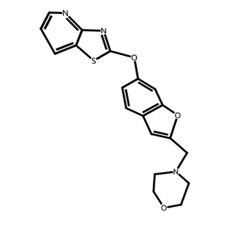 c1cnc2nc(Oc3ccc4cc(CN5CCOCC5)oc4c3)sc2c1